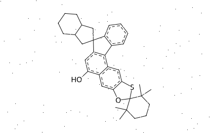 CC1(C)CCCC(C)(C)C12Oc1cc3c(O)cc4c(c3cc1S2)-c1ccccc1C41CC2CCCCC2C1